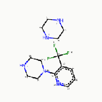 C1CNCCN1.FC(F)(F)c1cccnc1N1CCNCC1